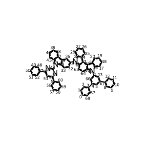 c1ccc(-c2cc(-c3ccccc3)cc(-n3c4ccccc4c4c5c6ccccc6n(-c6ccc7c(c6)c6ccccc6n7-c6nc(-c7ccccc7)cc(-c7ccccc7)n6)c5ccc43)c2)cc1